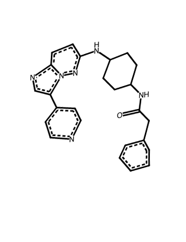 O=C(Cc1ccccc1)NC1CCC(Nc2ccc3ncc(-c4ccncc4)n3n2)CC1